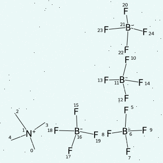 C[N+](C)(C)C.F[B-](F)(F)F.F[B-](F)(F)F.F[B-](F)(F)F.F[B-](F)(F)F